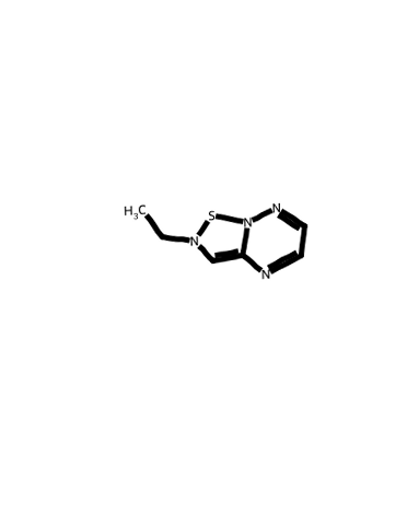 CCN1C=C2N=CC=NN2S1